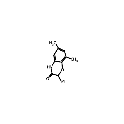 Cc1cc(C)c2c(c1)NC(=O)C(C(C)C)O2